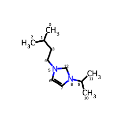 CC(C)CCN1C=CN(C(C)C)C1